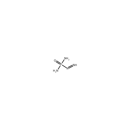 N=NP(N)(N)=O